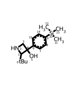 CC(C)(C)C1NCC1(O)c1ccc([Si](C)(C)C)cc1